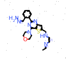 C/C=N/C=C\NCc1cc2nc(-c3ccccc3/C=N\N)nc(N3CCOCC3)c2s1